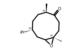 CC(C)[C@@H]1CC[C@@H](C)C(=O)CC[C@@]2(C)OC2C1